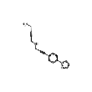 NCC#CCNCC#Cc1ccc(-c2ccco2)cc1